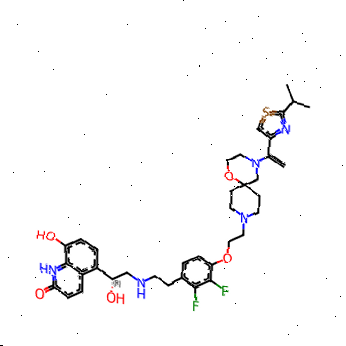 C=C(c1csc(C(C)C)n1)N1CCOC2(CCN(CCOc3ccc(CCNC[C@H](O)c4ccc(O)c5[nH]c(=O)ccc45)c(F)c3F)CC2)C1